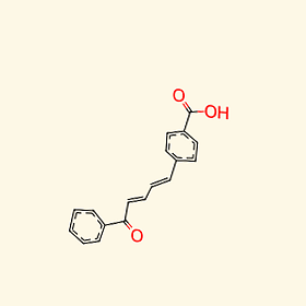 O=C(O)c1ccc(C=CC=CC(=O)c2ccccc2)cc1